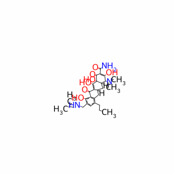 CCCc1cc(CNCC(C)C)c(O)c2c1C[C@H]1C[C@H]3[C@H](N(C)C)C(O)=C(C(N)=O)C(=O)[C@@]3(O)C(O)=C1C2=O